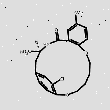 CSc1ccc2c(c1)C(=O)N[C@H](C(=O)O)Cc1ccc(c(Cl)c1)OCCCCO2